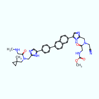 CNCC(=O)N(Cc1ncc(-c2ccc(-c3ccc4cc(-c5cnc(CN(CC#N)C(=O)CNC(=O)OC)[nH]5)ccc4c3)cc2)[nH]1)CC1(C)CC1